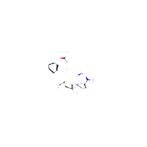 COC(=O)CNP(=S)(OC[C@@]1(C#N)O[C@@H](c2ccc3c(N)ncnn23)[C@H](O)[C@@H]1O)Oc1ccccc1